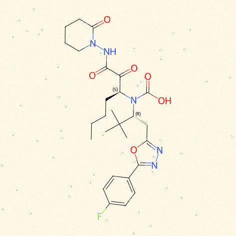 CCCC[C@@H](C(=O)C(=O)NN1CCCCC1=O)N(C(=O)O)[C@H](Cc1nnc(-c2ccc(F)cc2)o1)C(C)(C)C